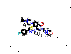 CN(c1nc(-c2ccc(F)cc2)c(C#N)s1)c1cn(CCN2CCOCC2)c(=O)c2ccc(N3CCN(C4CC4)CC3)cc12